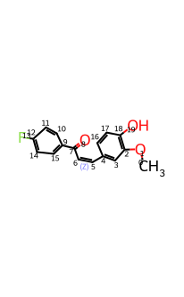 COc1cc(/C=C\C(=O)c2ccc(F)cc2)ccc1O